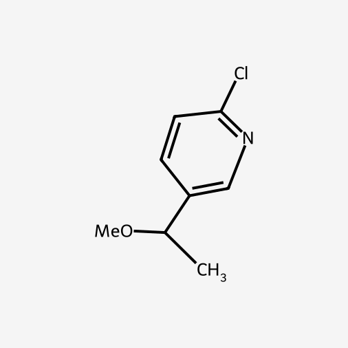 COC(C)c1ccc(Cl)nc1